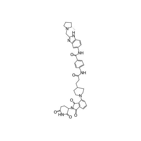 C[C@H]1CCCN1Cc1nc2cc(NC(=O)c3ccc(NC(=O)CCC4CCN(c5cccc6c5C(=O)N(C5CCC(=O)NC5=O)C6=O)CC4)cc3)ccc2[nH]1